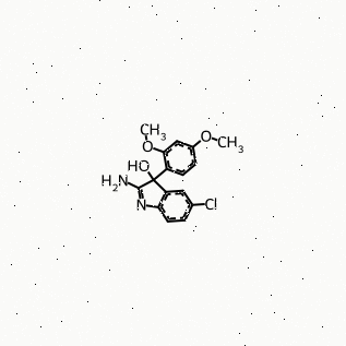 COc1ccc(C2(O)C(N)=Nc3ccc(Cl)cc32)c(OC)c1